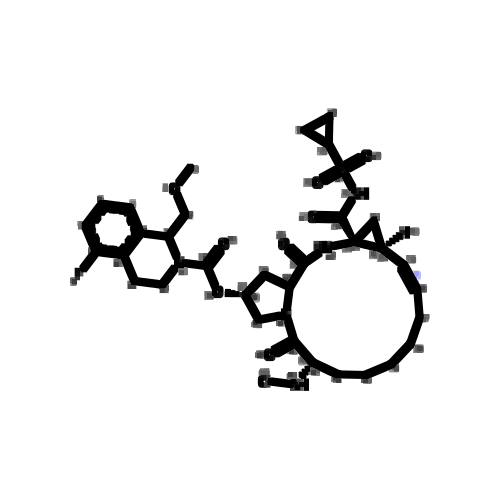 COCC1c2cccc(F)c2CCN1C(=O)O[C@@H]1CC2C(=O)N[C@]3(C(=O)NS(=O)(=O)C4CC4)C[C@H]3/C=C\CCCCC[C@H](NCl)C(=O)N2C1